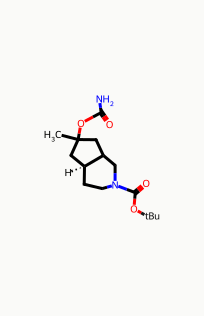 CC(C)(C)OC(=O)N1CC[C@H]2CC(C)(OC(N)=O)CC2C1